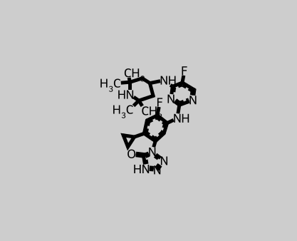 CC1(C)CC(Nc2nc(Nc3cc(-n4nn[nH]c4=O)c(C4CC4)cc3F)ncc2F)CC(C)(C)N1